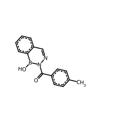 Cc1ccc(C(=O)N2N=Cc3ccccc3B2O)cc1